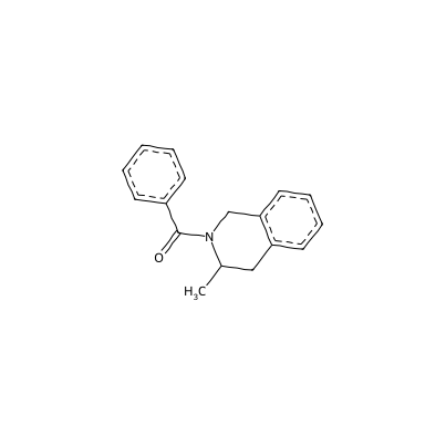 CC1Cc2ccccc2CN1C(=O)c1ccccc1